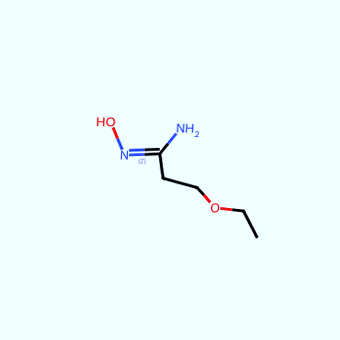 CCOCC/C(N)=N/O